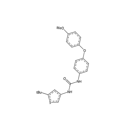 COc1ccc(Oc2ccc(NC(=O)Nc3csc(C(C)(C)C)c3)cc2)cc1